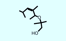 CC(=CC(C)C)C(C)OC(C)(C)CO